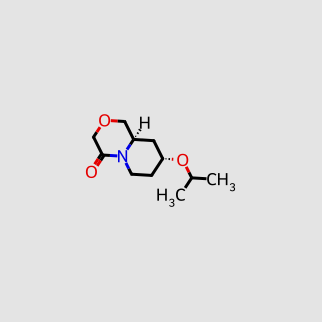 CC(C)O[C@@H]1CCN2C(=O)COC[C@H]2C1